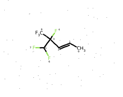 CC=CC(F)(C(F)F)C(F)(F)F